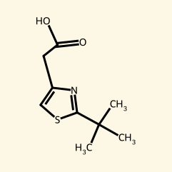 CC(C)(C)c1nc(CC(=O)O)cs1